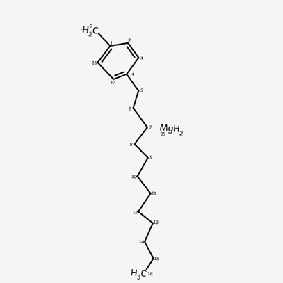 [CH2]c1ccc(CCCCCCCCCCCC)cc1.[MgH2]